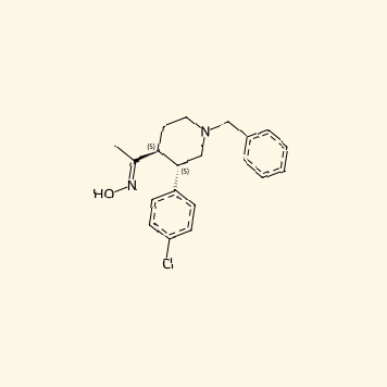 CC(=NO)[C@H]1CCN(Cc2ccccc2)C[C@@H]1c1ccc(Cl)cc1